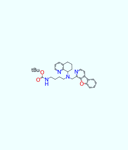 CC(C)(C)OC(=O)NCCCCN(Cc1nccc2c1oc1ccccc12)C1CCCc2cccnc21